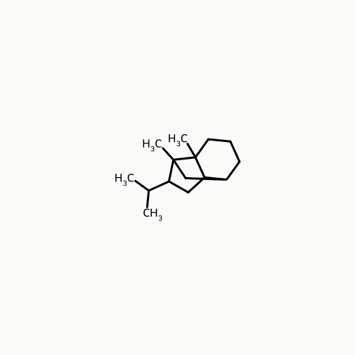 CC(C)C1CC2C3CCCC2(C)C1(C)C3